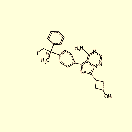 C[C@@](CI)(c1ccccc1)c1ccc(-c2nc(C3CC(O)C3)n3ncnc(N)c23)cc1